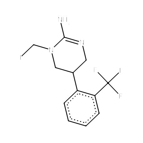 NC1=NCC(c2ccccc2C(F)(F)F)CN1CI